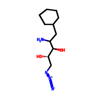 [N-]=[N+]=NC[C@H](O)[C@H](O)C(N)CC1CCCCC1